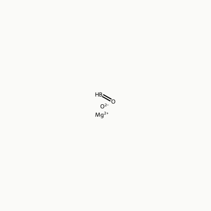 B=O.[Mg+2].[O-2]